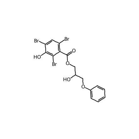 O=C(OCC(O)COc1ccccc1)c1c(Br)cc(Br)c(O)c1Br